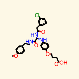 COc1ccc(CCNC(=O)C(NC(=O)Cc2cccc(Cl)c2)Nc2ccc(OCCCC(=O)O)cc2)cc1